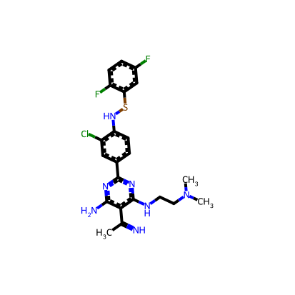 CC(=N)c1c(N)nc(-c2ccc(NSc3cc(F)ccc3F)c(Cl)c2)nc1NCCN(C)C